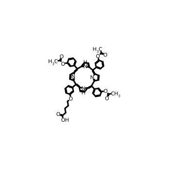 CC(=O)Oc1cccc(-c2c3nc(c(-c4cccc(OC(C)=O)c4)c4ccc([nH]4)c(-c4cccc(OC(C)=O)c4)c4nc(c(-c5cccc(OCCCCC(=O)O)c5)c5ccc2[nH]5)C=C4)C=C3)c1